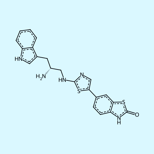 N[C@@H](CNc1ncc(-c2ccc3[nH]c(=O)sc3c2)s1)Cc1c[nH]c2ccccc12